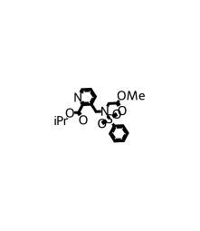 COC(=O)CN(Cc1cccnc1C(=O)OC(C)C)S(=O)(=O)c1ccccc1